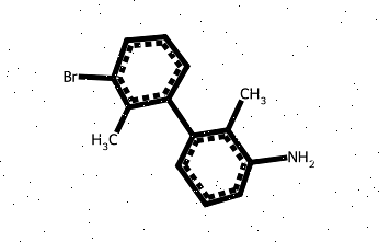 Cc1c(N)cccc1-c1cccc(Br)c1C